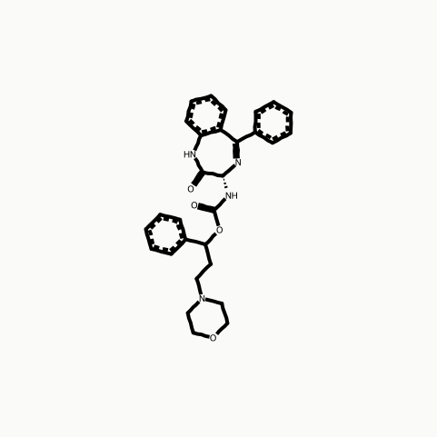 O=C(N[C@H]1N=C(c2ccccc2)c2ccccc2NC1=O)OC(CCN1CCOCC1)c1ccccc1